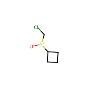 [O-][S+](CCl)C1CCC1